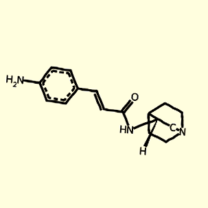 Nc1ccc(C=CC(=O)N[C@H]2CN3CCC2CC3)cc1